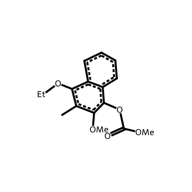 CCOc1c(C)c(OC)c(OC(=O)OC)c2ccccc12